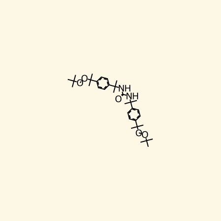 CC(C)(C)OOC(C)(C)c1ccc(C(C)(C)NC(=O)NC(C)(C)c2ccc(C(C)(C)OOC(C)(C)C)cc2)cc1